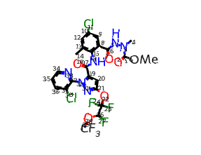 COC(=O)N(C)NC(=O)c1cc(Cl)cc(C)c1NC(=O)c1cc(OC(F)(F)C(F)OC(F)(F)F)nn1-c1ncccc1Cl